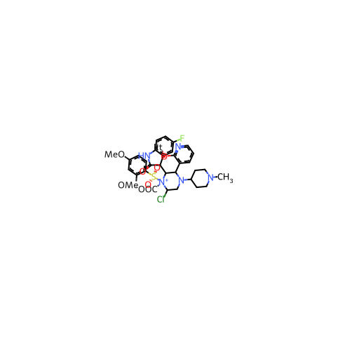 CCOc1ncccc1C1C(C2C(=O)Nc3ccc(F)cc32)[N+](C(=O)[O-])(S(=O)(=O)c2ccc(OC)cc2OC)C(Cl)CN1C1CCN(C)CC1